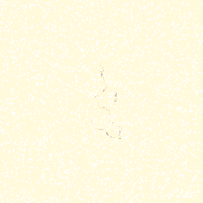 N#Cc1ccc(-n2nccc2B(O)O)cc1